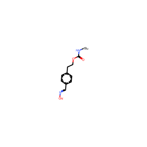 CC(C)(C)NC(=O)OCCc1ccc(C=NO)cc1